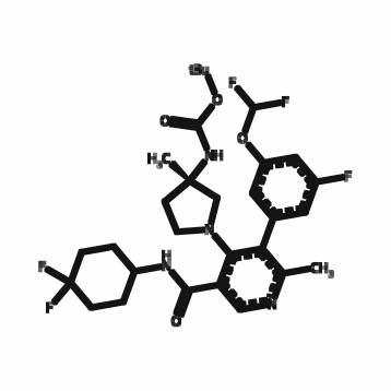 Cc1ncc(C(=O)NC2CCC(F)(F)CC2)c(N2CC[C@](C)(NC(=O)OC(C)(C)C)C2)c1-c1cc(F)cc(OC(F)F)c1